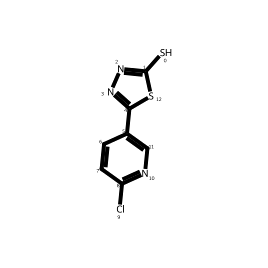 Sc1nnc(-c2ccc(Cl)nc2)s1